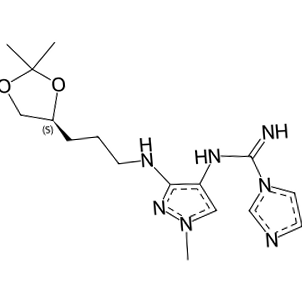 Cn1cc(NC(=N)n2ccnc2)c(NCCC[C@H]2COC(C)(C)O2)n1